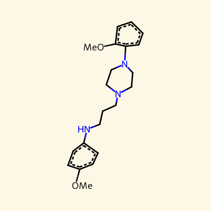 COc1ccc(NCCCN2CCN(c3ccccc3OC)CC2)cc1